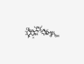 Cc1nc(C)c(-c2ccc3nc(NC(=O)CO)cn3n2)cc1C(=O)N[C@H](C)c1cc(C(F)(F)F)ccc1F